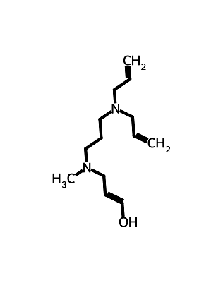 C=CCN(CC=C)CCCN(C)CC=CO